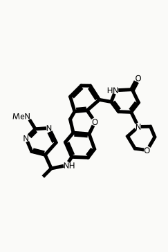 CNc1ncc(C(C)Nc2ccc3c(c2)Cc2cccc(-c4cc(N5CCOCC5)cc(=O)[nH]4)c2O3)cn1